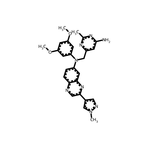 COc1cc(OC)cc(N(Cc2cc(N)nc(C)n2)c2ccc3ncc(-c4cnn(C)c4)nc3c2)c1